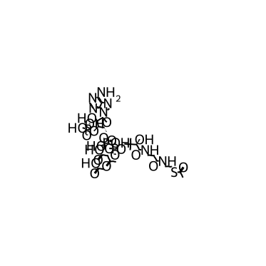 CC(=O)CC(=O)O.CC(=O)O.CC(=O)SCCNC(=O)CCNC(=O)[C@H](O)C(C)(C)COP(=O)(O)OP(=O)(O)OC[C@H]1O[C@@H](n2cnc3c(N)ncnc32)[C@H](O)[C@@H]1OP(=O)(O)O